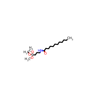 CCCCCCCC[CH]CCC(=O)NCCC[Si](OC)(OC)OC